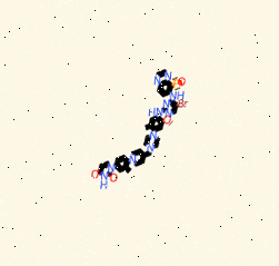 COc1cc(N2CCN(CC3CCN(c4ccc(-n5ccc(=O)[nH]c5=O)cc4C)CC3)CC2)c(C)cc1Nc1ncc(Br)c(Nc2ccc3nccnc3c2P(C)(C)=O)n1